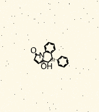 O=C1C=C[C@]2(O)C[C@@H](c3ccccc3)c3ccccc3N12